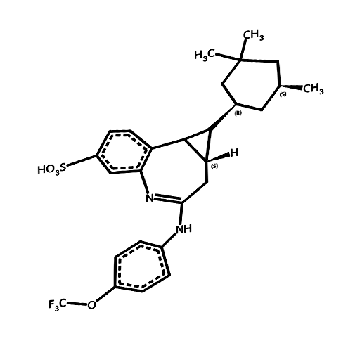 C[C@H]1C[C@@H](C2C3c4ccc(S(=O)(=O)O)cc4N=C(Nc4ccc(OC(F)(F)F)cc4)C[C@H]32)CC(C)(C)C1